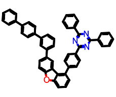 c1ccc(-c2ccc(-c3cccc(-c4ccc5oc6cccc(-c7ccc(-c8nc(-c9ccccc9)nc(-c9ccccc9)n8)cc7)c6c5c4)c3)cc2)cc1